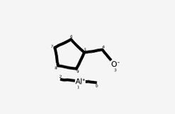 [CH3][Al+][CH3].[O-]CC1CCCC1